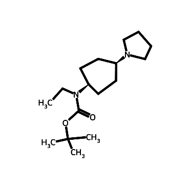 CCN(C(=O)OC(C)(C)C)[C@H]1CC[C@@H](N2CCCC2)CC1